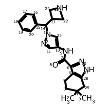 CC1(C)CCc2c(C(=O)Nc3cnn(C(c4ccccc4)C4CNC4)c3)n[nH]c2C1